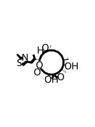 C/C(=C\c1csc(C)n1)[C@@H]1C[C@@H]2O[C@@]2(C)CCC[C@@H](C)[C@H](O)[C@H](C)C(=O)C(C)(C)[C@H](O)CC(=O)O1